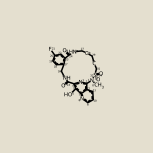 CN1c2nc(c(O)c3ncccc23)C(=O)NCc2ccc(F)cc2C(=O)NCCCCCS1(=O)=O